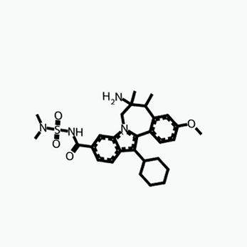 COc1ccc2c(c1)C(C)C(C)(N)Cn1c-2c(C2CCCCC2)c2ccc(C(=O)NS(=O)(=O)N(C)C)cc21